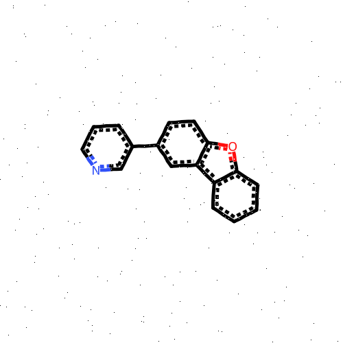 [c]1ccc2c(c1)oc1ccc(-c3cccnc3)cc12